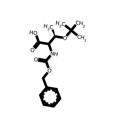 C[C@@H](OC(C)(C)C)C(NC(=O)OCc1ccccc1)C(=O)O